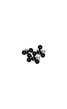 c1ccc(C2=NC(c3ccccc3)NC(c3cc(C4=NC(c5ccccc5)NC(c5ccccc5)=N4)cc(-c4cccc(-c5nc6ccccc6n5-c5ccccc5)c4)c3)=N2)cc1